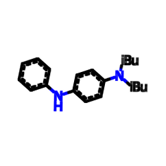 CCC(C)N(c1ccc(Nc2ccccc2)cc1)C(C)CC